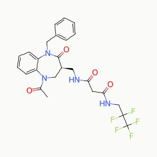 CC(=O)N1C[C@H](CNC(=O)CC(=O)NCC(F)(F)C(F)(F)F)C(=O)N(Cc2ccccc2)c2ccccc21